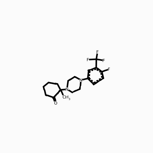 CC1(N2CCN(c3ccc(F)c(C(F)(F)F)c3)CC2)CCCCC1=O